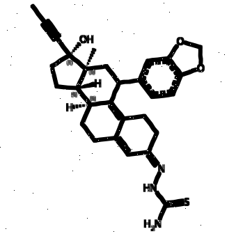 CC#C[C@]1(O)CC[C@H]2[C@@H]3CCC4=CC(=NNC(N)=S)CCC4=C3C(c3ccc4c(c3)OCO4)C[C@@]21C